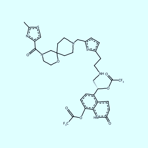 Cc1nc(C(=O)N2CCOC3(CCN(Cc4ccc(CCNC[C@H](OC(=O)C(F)(F)F)c5ccc(OC(=O)C(F)(F)F)c6[nH]c(=O)ccc56)s4)CC3)C2)cs1